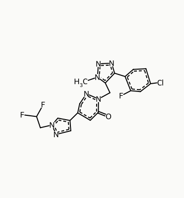 Cn1nnc(-c2ccc(Cl)cc2F)c1Cn1ncc(-c2cnn(CC(F)F)c2)cc1=O